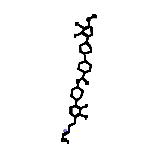 C/C=C/CCc1ccc(C2CCC(OC(=O)C3CCC(C4CC=C(c5ccc(OCC)c(F)c5F)CC4)CC3)CC2)c(F)c1F